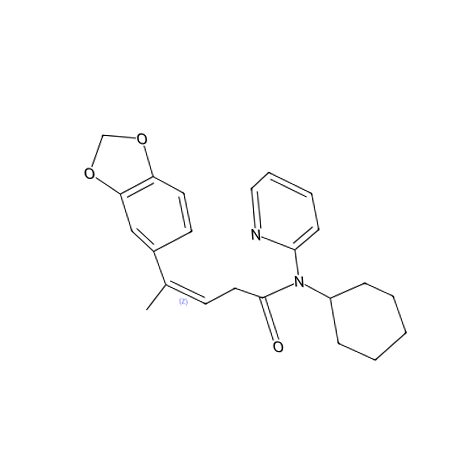 C/C(=C/CC(=O)N(c1ccccn1)C1CCCCC1)c1ccc2c(c1)OCO2